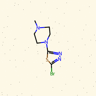 CN1CCN(c2nnc(Br)s2)CC1